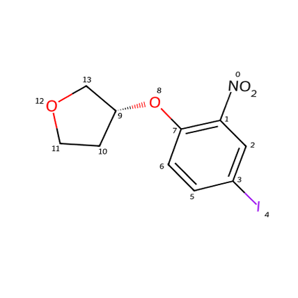 O=[N+]([O-])c1cc(I)ccc1O[C@@H]1CCOC1